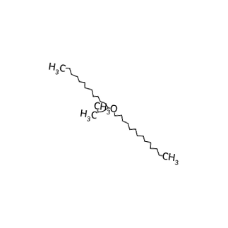 CCCCCCCCCCCCCCOC(CCCCCCCCCCCC)CC(C)C